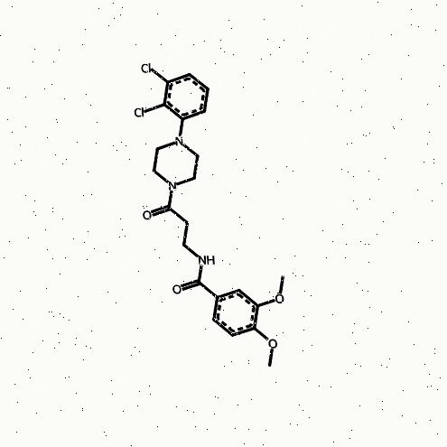 COc1ccc(C(=O)NCCC(=O)N2CCN(c3cccc(Cl)c3Cl)CC2)cc1OC